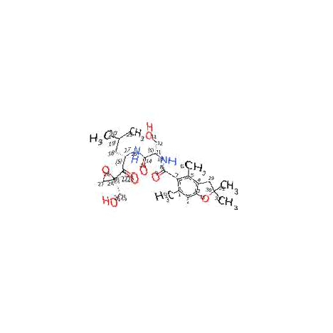 Cc1cc2c(c(C)c1C(=O)N[C@@H](CO)C(=O)N[C@@H](CC(C)C)C(=O)[C@@]1(CO)CO1)CC(C)(C)O2